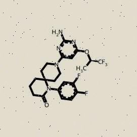 C[C@@H](Oc1cc(N2CCC3(CCCC(=O)N3c3ccc(F)c(F)c3)CC2)nc(N)n1)C(F)(F)F